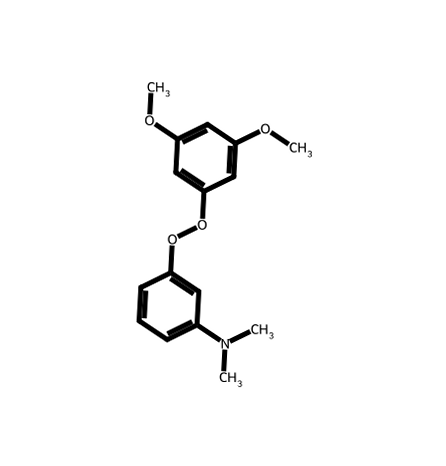 COc1cc(OC)cc(OOc2cccc(N(C)C)c2)c1